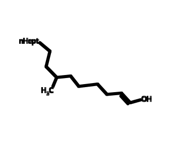 CCCCCCCCCC(C)CCCCC=CO